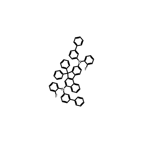 Fc1ccccc1N(c1cccc(-c2ccccc2)c1)c1ccc2c(c1)C(c1ccccc1)(c1ccccc1)c1cc(N(c3cccc(-c4ccccc4)c3)c3ccccc3F)c3ccccc3c1-2